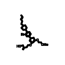 C=C(CO)CCOC1=CC(c2ccc(C3CCC(CC/C=C/C)CC3)c(CC)c2)CC(OCCOC)=C1